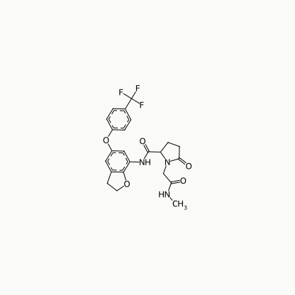 CNC(=O)CN1C(=O)CCC1C(=O)Nc1cc(Oc2ccc(C(F)(F)F)cc2)cc2c1OCC2